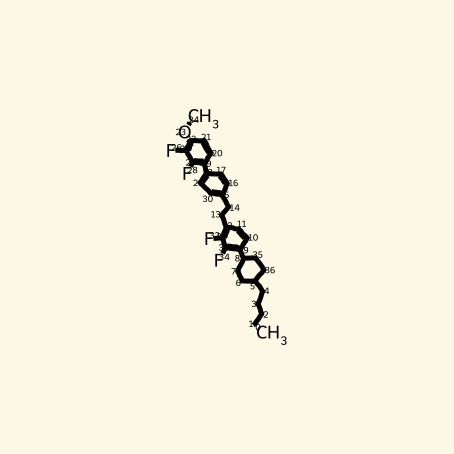 CCCCCC1CCC(c2ccc(CCc3ccc(-c4ccc(OC)c(F)c4F)cc3)c(F)c2F)CC1